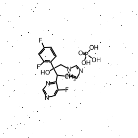 CC(c1ncncc1F)C(O)(Cn1cncn1)c1ccc(F)cc1F.O=P(O)(O)O